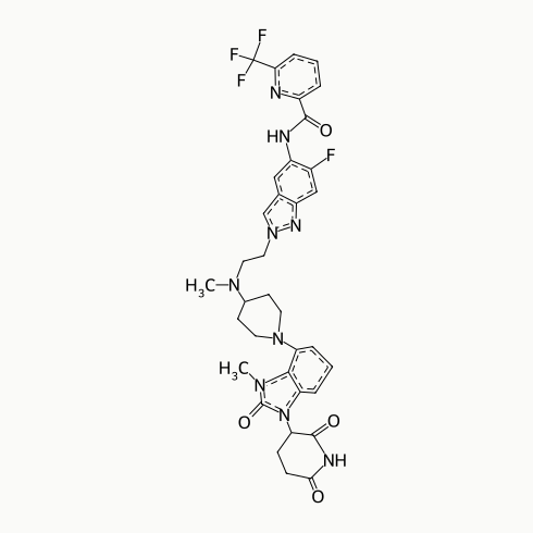 CN(CCn1cc2cc(NC(=O)c3cccc(C(F)(F)F)n3)c(F)cc2n1)C1CCN(c2cccc3c2n(C)c(=O)n3C2CCC(=O)NC2=O)CC1